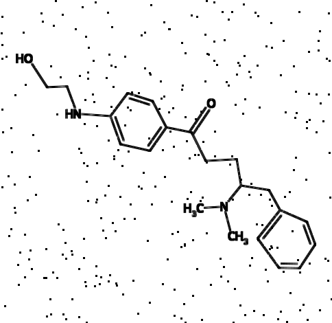 CN(C)C(CCC(=O)c1ccc(NCCO)cc1)Cc1ccccc1